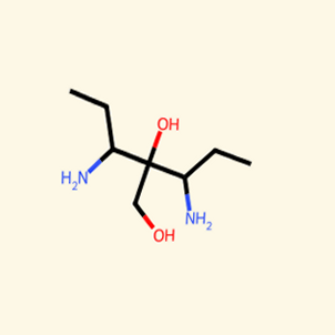 CCC(N)C(O)(CO)C(N)CC